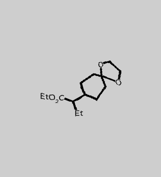 CCOC(=O)C(CC)C1CCC2(CC1)OCCO2